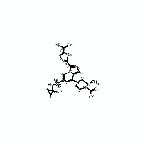 CC(C)C(=O)N1CCN(c2cc(S(=O)(=O)NC3(C#N)CC3)cn3c(-c4nnc(C(F)F)s4)ncc23)C[C@@H]1C